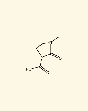 CN1CCN(C(=O)O)C1=O